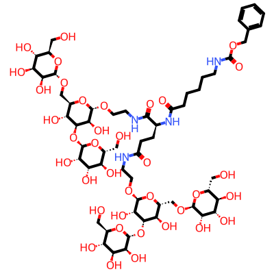 O=C(CC[C@H](NC(=O)CCCCCNC(=O)OCc1ccccc1)C(=O)NCCO[C@H]1O[C@H](CO[C@H]2O[C@H](CO)[C@@H](O)[C@H](O)[C@@H]2O)[C@@H](O)[C@H](O[C@H]2O[C@H](CO)[C@@H](O)[C@H](O)[C@@H]2O)[C@@H]1O)NCCO[C@H]1O[C@H](CO[C@H]2O[C@H](CO)[C@@H](O)[C@H](O)[C@@H]2O)[C@@H](O)[C@H](O[C@H]2O[C@H](CO)[C@@H](O)[C@H](O)[C@@H]2O)[C@@H]1O